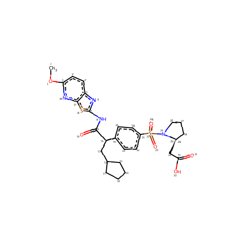 COc1ccc2nc(NC(=O)C(CC3CCCC3)c3ccc(S(=O)(=O)N4CCC[C@H]4CC(=O)O)cc3)sc2n1